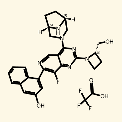 O=C(O)C(F)(F)F.OC[C@@H]1CCN1c1nc(N2C[C@H]3CC[C@@H](C2)N3)c2cnc(-c3cc(O)cc4ccccc34)c(F)c2n1